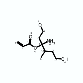 C=CC(=O)OC(N)(CCO)C(C)CCO